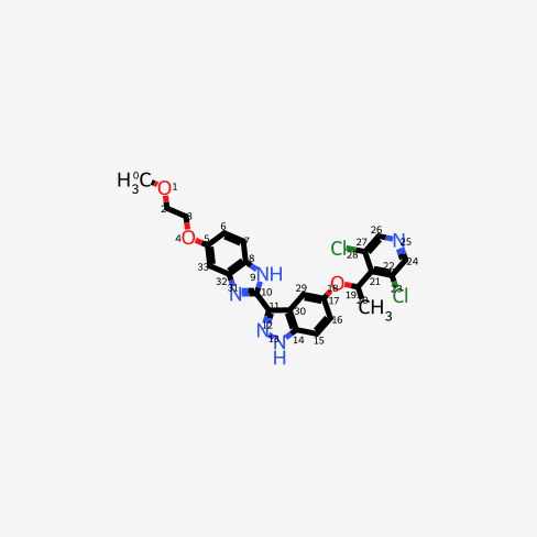 COCCOc1ccc2[nH]c(-c3n[nH]c4ccc(OC(C)c5c(Cl)cncc5Cl)cc34)nc2c1